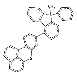 CC1(c2ccccc2)c2ccccc2-c2c(-c3ccc4c(c3)Sc3cccc5cccc-4c35)cccc21